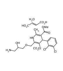 CCOC(=O)C1=C(COCC(O)CN)NC(C)=C(C(=O)OC)C1c1cccc(Cl)c1Cl.O.O=C(O)/C=C/C(=O)O